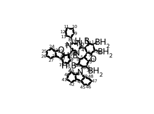 Bc1c(B)c(-c2nc(-c3ccccc3)nc(-c3cccc4c3oc3ccccc34)n2)c2c(oc3c(B)c(-n4c5ccccc5c5ccccc54)c(B)c(B)c32)c1B